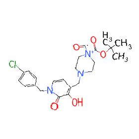 CC(C)(C)OC(=O)[N+]1([C]=O)CCN(Cc2ccn(Cc3ccc(Cl)cc3)c(=O)c2O)CC1